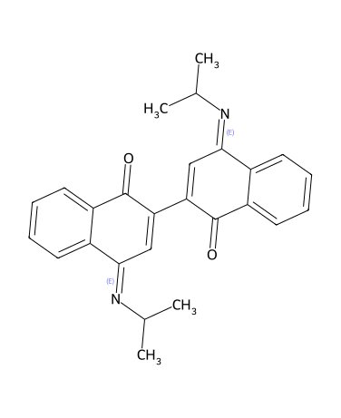 CC(C)/N=C1\C=C(C2=C/C(=N\C(C)C)c3ccccc3C2=O)C(=O)c2ccccc21